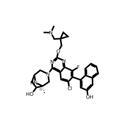 CN(C)CC1(COc2nc(N3CC4CC(O)[C@](C)(C3)N4)c3cc(Cl)c(-c4cc(O)cc5ccccc45)c(F)c3n2)CC1